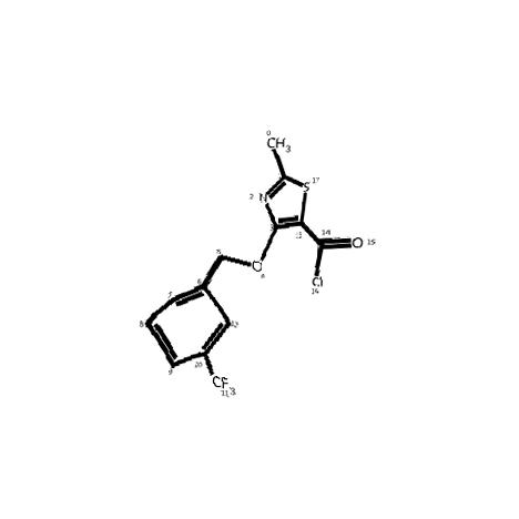 Cc1nc(OCc2cccc(C(F)(F)F)c2)c(C(=O)Cl)s1